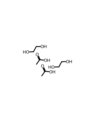 CC(=O)O.CC(=O)O.OCCO.OCCO